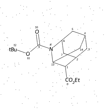 CCOC(=O)C1C2CC3CC(C2)N(C(=O)OC(C)(C)C)C1C3